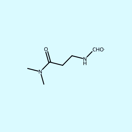 CN(C)C(=O)CCN[C]=O